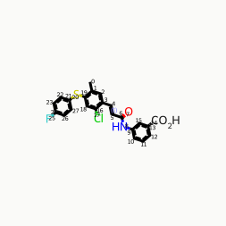 Cc1cc(/C=C/C(=O)Nc2cccc(C(=O)O)c2)c(Cl)cc1Sc1ccc(F)cc1